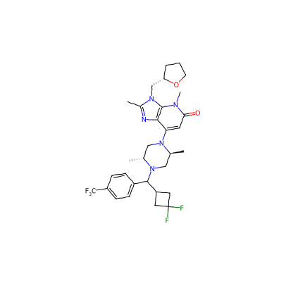 Cc1nc2c(N3C[C@@H](C)N(C(c4ccc(C(F)(F)F)cc4)C4CC(F)(F)C4)C[C@@H]3C)cc(=O)n(C)c2n1C[C@@H]1CCCO1